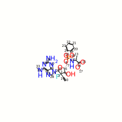 C#C[C@@]1(F)[C@H](O)[C@@H](COP(=O)(N[C@@H](C)C(=O)OC)Oc2ccccc2)O[C@H]1n1cnc2c(NC)nc(N)nc21